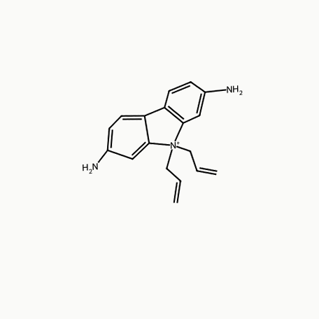 C=CC[N+]1(CC=C)c2cc(N)ccc2-c2ccc(N)cc21